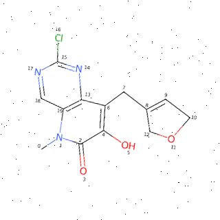 Cn1c(=O)c(O)c(CC2=CCOC2)c2nc(Cl)ncc21